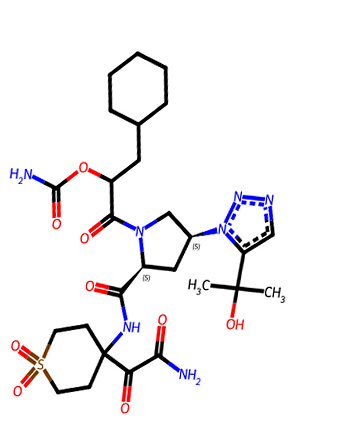 CC(C)(O)c1cnnn1[C@H]1C[C@@H](C(=O)NC2(C(=O)C(N)=O)CCS(=O)(=O)CC2)N(C(=O)C(CC2CCCCC2)OC(N)=O)C1